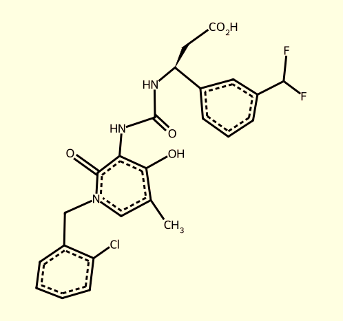 Cc1cn(Cc2ccccc2Cl)c(=O)c(NC(=O)N[C@@H](CC(=O)O)c2cccc(C(F)F)c2)c1O